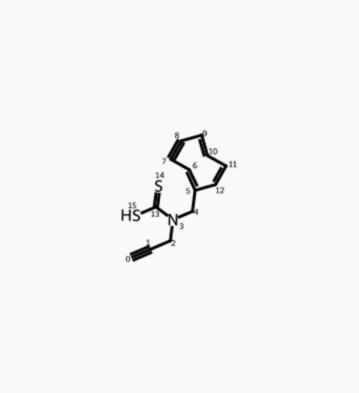 C#CCN(CC1=C\C#C/C=C/C=C\1)C(=S)S